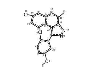 COc1ccc(Cl)c(-c2nnc3c(C)nc4cc(Cl)ccc4n23)c1